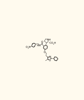 Cc1oc(-c2ccccc2)nc1CCOc1ccc(C2CCN[C@@H]2C(=O)O)c(C(=O)NCc2ccc([N+](=O)[O-])cc2)c1